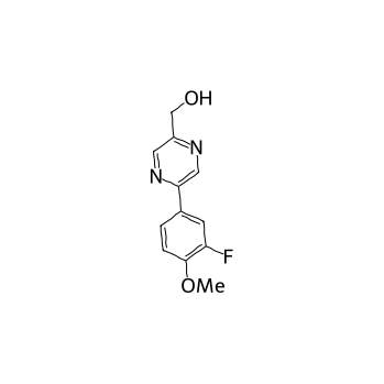 COc1ccc(-c2cnc(CO)cn2)cc1F